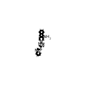 N[C@@H]1c2ccccc2CC12CCN(c1ncc(Sc3cnc4ccccn34)nn1)CC2